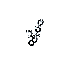 O=C(NO)C1c2ccccc2CCN1S(=O)(=O)c1ccc(N2CCOCC2)nc1